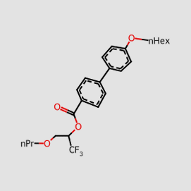 CCCCCCOc1ccc(-c2ccc(C(=O)OC(COCCC)C(F)(F)F)cc2)cc1